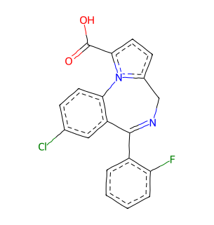 O=C(O)c1ccc2n1-c1ccc(Cl)cc1C(c1ccccc1F)=NC2